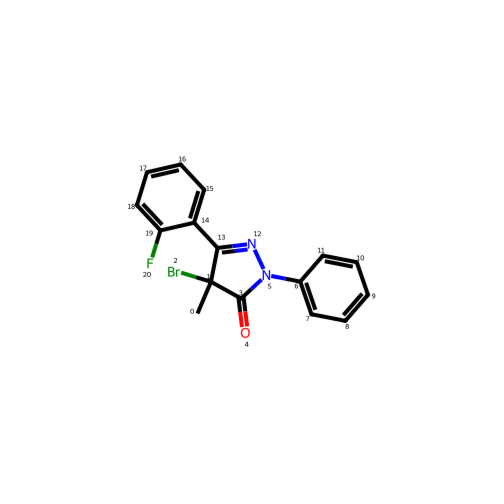 CC1(Br)C(=O)N(c2ccccc2)N=C1c1ccccc1F